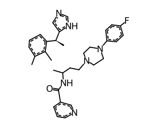 CC(CCN1CCN(c2ccc(F)cc2)CC1)NC(=O)c1cccnc1.Cc1cccc([C@H](C)c2cnc[nH]2)c1C